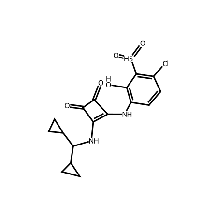 O=c1c(Nc2ccc(Cl)c([SH](=O)=O)c2O)c(NC(C2CC2)C2CC2)c1=O